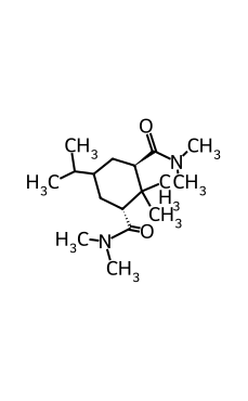 CC(C)C1C[C@@H](C(=O)N(C)C)C(C)(C)[C@H](C(=O)N(C)C)C1